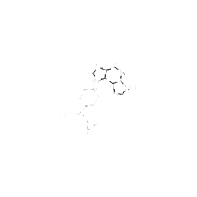 CN(C1CC1)C1CCC(n2cnc3cnc4[nH]ccc4c32)CC1